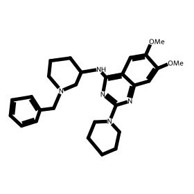 COc1cc2nc(N3CCCCC3)nc(NC3CCCN(Cc4ccccc4)C3)c2cc1OC